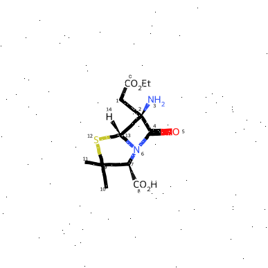 CCOC(=O)C[C@]1(N)C(=O)N2[C@@H](C(=O)O)C(C)(C)S[C@@H]21